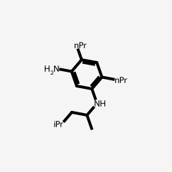 CCCc1cc(CCC)c(NC(C)CC(C)C)cc1N